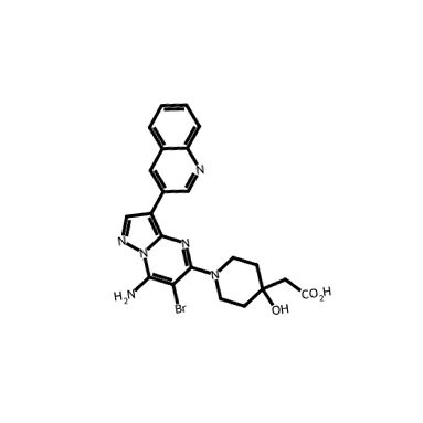 Nc1c(Br)c(N2CCC(O)(CC(=O)O)CC2)nc2c(-c3cnc4ccccc4c3)cnn12